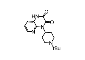 CC(C)(C)N1CCC(n2c(=O)c(=O)[nH]c3cccnc32)CC1